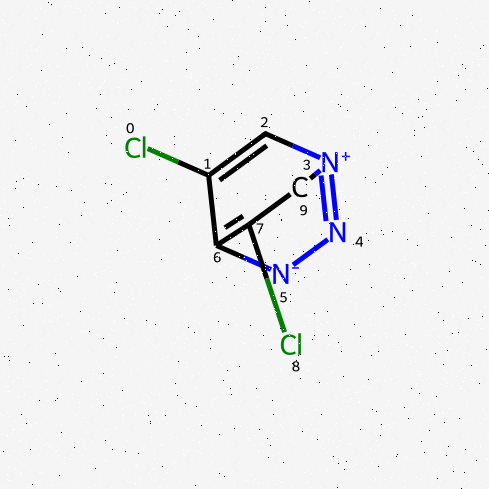 ClC1=C[N+]2=N[N-]C1=C(Cl)C2